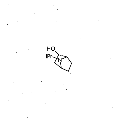 CC(C)N1C2CCC1C(O)C2